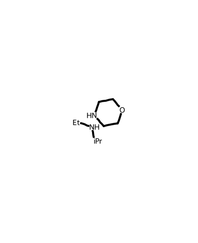 C1COCCN1.CCNC(C)C